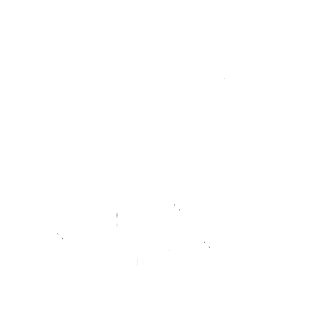 Cc1noc(-c2ccc(-c3ccc(C4(C(=O)O)CC4)cc3)cc2)c1NC(=O)OC(C)c1cccc(C#N)c1